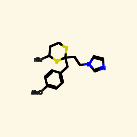 CCCCC1CCSC(CCn2ccnc2)(Cc2ccc(OC)cc2)S1